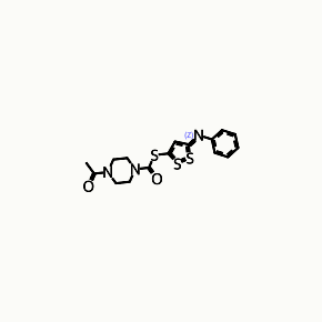 CC(=O)N1CCN(C(=O)Sc2c/c(=N/c3ccccc3)ss2)CC1